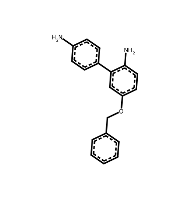 Nc1ccc(-c2cc(OCc3ccccc3)ccc2N)cc1